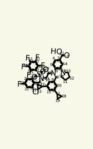 O=C(O)c1ccc(N(Cc2cc(C3CC3)cc(C3CC3)c2)C(=O)CN(Cc2ccc(F)cc2Cl)S(=O)(=O)c2c(F)c(F)c(F)c(F)c2F)c(N2CCCC2)c1